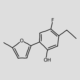 CCc1cc(O)c(-c2ccc(C)o2)cc1F